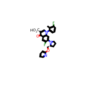 Cc1c(F)cccc1-n1cc(C(=O)O)c(=O)c2cc(F)c(N3CCC[C@@H]3COc3ccccn3)cc21